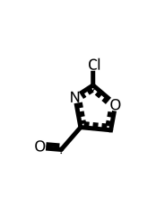 O=[C]c1coc(Cl)n1